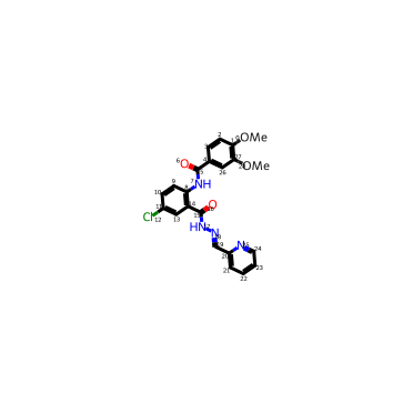 COc1ccc(C(=O)Nc2ccc(Cl)cc2C(=O)N/N=C/c2ccccn2)cc1OC